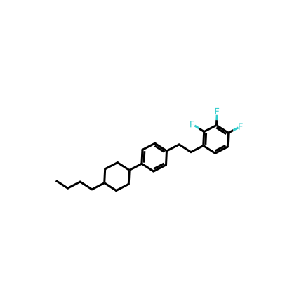 CCCCC1CCC(c2ccc(CCc3ccc(F)c(F)c3F)cc2)CC1